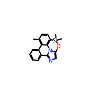 Cc1ccc2c3c1c1ccccc1c1ncc(n13)O[Si]2(C)C